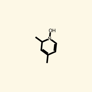 CC1=CC(C)N(O)C=C1